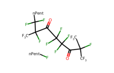 CCCCCC(F)(F)C(F)(C(=O)C(F)(F)C(F)(F)C(=O)C(F)(C(F)(F)F)C(F)(F)F)C(F)(F)F.CCCCCF